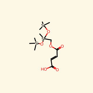 C[Si](C)(C)O[Si](C)(COC(=O)/C=C/C(=O)O)O[Si](C)(C)C